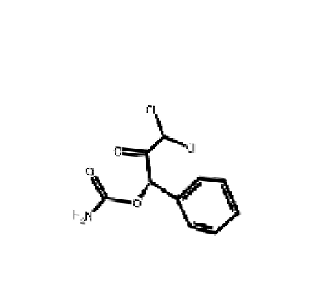 NC(=O)O[C@@H](C(=O)C(Cl)Cl)c1ccccc1